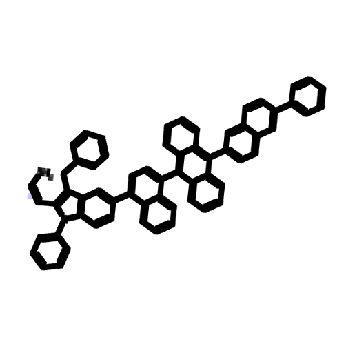 N/C=C\c1c(Cc2ccccc2)c2cc(-c3ccc(-c4c5ccccc5c(-c5ccc6cc(-c7ccccc7)ccc6c5)c5ccccc45)c4ccccc34)ccc2n1-c1ccccc1